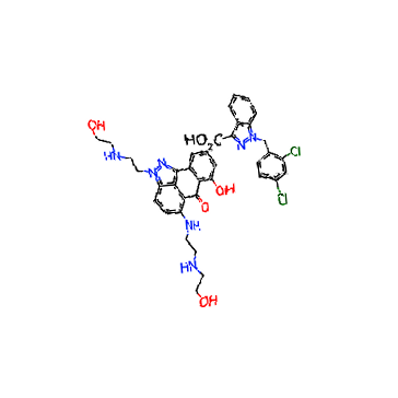 O=C(O)c1nn(Cc2ccc(Cl)cc2Cl)c2ccccc12.O=C1c2c(O)cccc2-c2nn(CCNCCO)c3ccc(NCCNCCO)c1c23